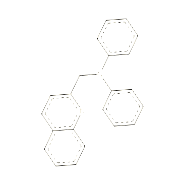 c1ccc(N(Cc2ccc3ccccc3n2)c2ccccc2)cc1